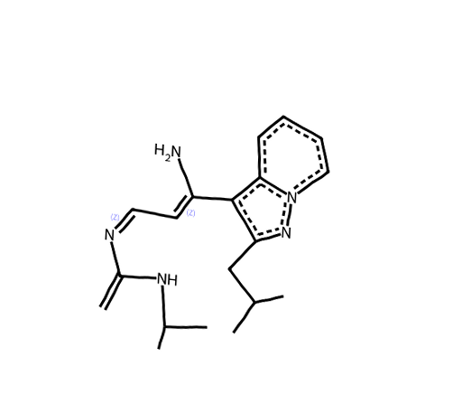 C=C(/N=C\C=C(/N)c1c(CC(C)C)nn2ccccc12)NC(C)C